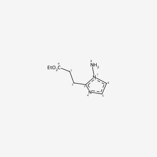 CCOC(=O)CCc1nccn1N